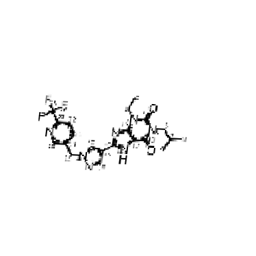 CCn1c(=O)n(CC(C)C)c(=O)c2[nH]c(-c3cnn(Cc4ccc(C(F)(F)F)nc4)c3)nc21